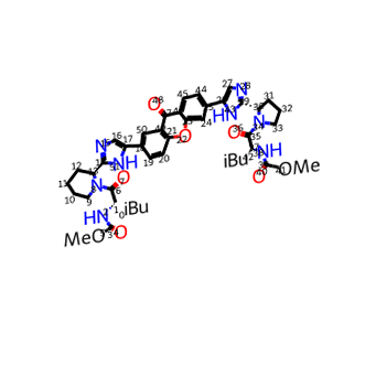 CC[C@H](C)[C@H](NC(=O)OC)C(=O)N1CCCC[C@H]1c1ncc(-c2ccc3oc4cc(-c5cnc([C@@H]6CCCN6C(=O)[C@@H](NC(=O)OC)[C@@H](C)CC)[nH]5)ccc4c(=O)c3c2)[nH]1